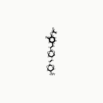 CCC[C@H]1CO[C@H](CC[C@H]2CO[C@H](CCc3ccc(OC(F)F)c(F)c3)OC2)OC1